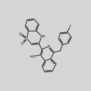 O=S1(=O)C=C(c2nc(Cc3ccc(F)cc3)c3ccccc3c2O)Nc2ccccc21